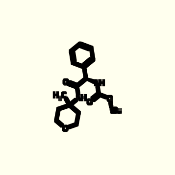 CC1(NC(=O)[C@H](NC(=O)OC(C)(C)C)c2ccccc2)CCOCC1